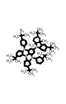 CC(C)(C)c1ccc(N2c3ccc(C(C)(C)C)cc3B3c4ccc(C(C)(C)C)cc4N(c4cccc(C(C)(C)C)c4)c4cc(N5c6ccc(C(C)(C)C)cc6C6(C)CC(C(C)(C)C)CCC56C)cc2c43)cc1